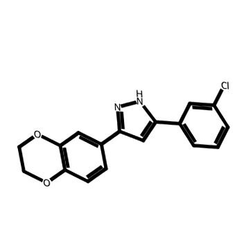 Clc1cccc(-c2cc(-c3ccc4c(c3)OCCO4)n[nH]2)c1